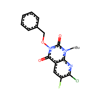 CCCCn1c(=O)n(OCc2ccccc2)c(=O)c2cc(F)c(Cl)nc21